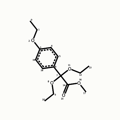 CCOc1ccc(C(OCC)(OCC)C(=O)OC)cc1